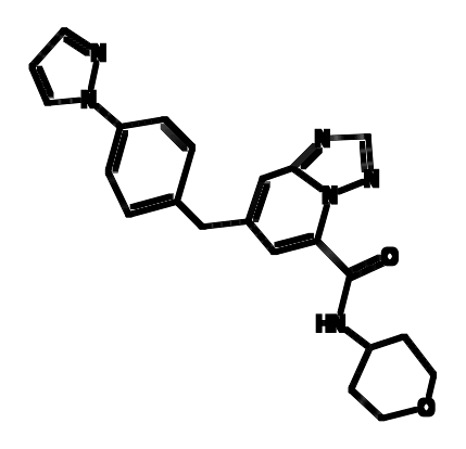 O=C(NC1CCOCC1)c1cc(Cc2ccc(-n3cccn3)cc2)cc2ncnn12